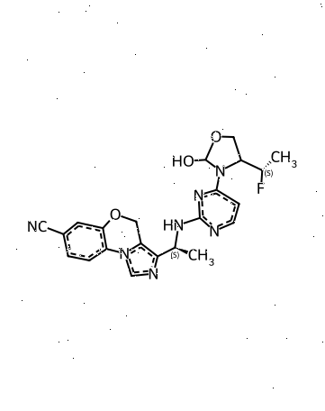 C[C@H](Nc1nccc(N2C(O)OCC2[C@H](C)F)n1)c1ncn2c1COc1cc(C#N)ccc1-2